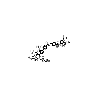 Cc1cc(C(=O)NCc2ccc(S(=O)(=O)Nc3ccc(C)c4c(C#N)c[nH]c34)cc2)ccc1-c1ccc(C2=N[C@@H](CC(=O)OC(C)(C)C)c3nnc(C)n3-c3sc(C)c(C)c32)cc1